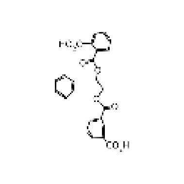 O=C(O)c1cccc(C(=O)OCCOC(=O)c2ccccc2C(=O)O)c1.c1ccccc1